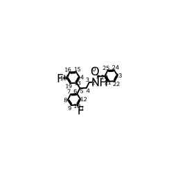 O=C(NCCC(c1cccc(F)c1)c1cccc(F)c1)c1ccccc1